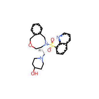 O=S(=O)(c1cccc2cccnc12)N1Cc2ccccc2COC[C@H]1CN1CCC(O)CC1